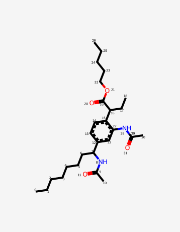 CCCCCCCC(NC(C)=O)c1ccc(C(CC)C(=O)OCCCCC)c(NC(C)=O)c1